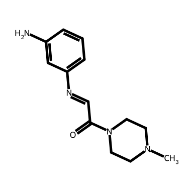 CN1CCN(C(=O)C=Nc2cccc(N)c2)CC1